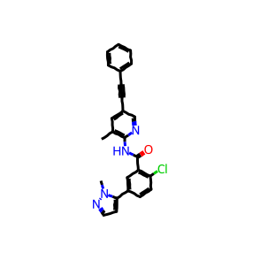 Cc1cc(C#Cc2ccccc2)cnc1NC(=O)c1cc(-c2ccnn2C)ccc1Cl